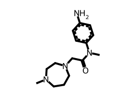 CN1CCCN(CC(=O)N(C)c2ccc(N)cc2)CC1